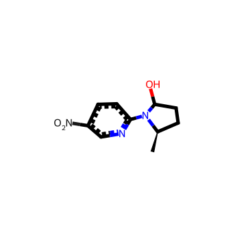 C[C@@H]1CCC(O)N1c1ccc([N+](=O)[O-])cn1